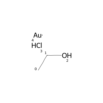 CCO.Cl.[Au]